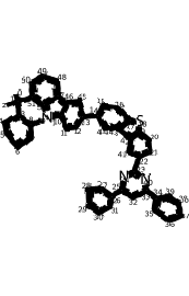 CC1(C)c2ccccc2-n2c3ccc(-c4ccc5sc6ccc(-c7nc(-c8ccccc8)cc(-c8ccccc8)n7)cc6c5c4)cc3c3cccc1c32